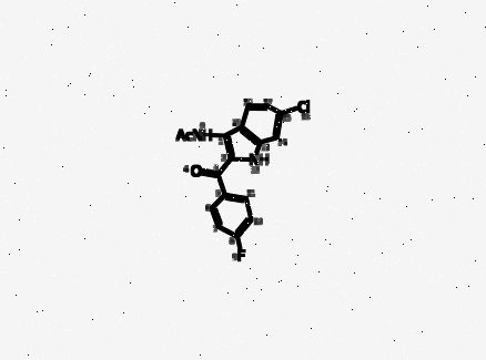 CC(=O)Nc1c(C(=O)c2ccc(F)cc2)[nH]c2cc(Cl)ccc12